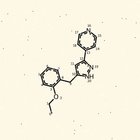 CCOc1ccccc1Cc1cc(-c2ccncc2)n[nH]1